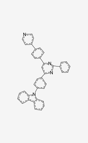 c1ccc(-c2nc(-c3ccc(-c4ccncc4)cc3)cc(-c3ccc(-n4c5ccccc5c5ccccc54)cc3)n2)cc1